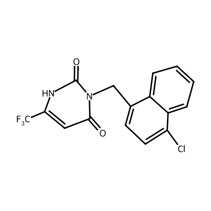 O=c1cc(C(F)(F)F)[nH]c(=O)n1Cc1ccc(Cl)c2ccccc12